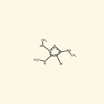 CNc1nn(NC)c(NC)c1Br